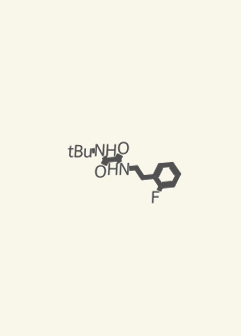 CC(C)(C)NC(=O)C(=O)NCCc1ccccc1F